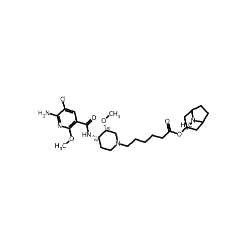 COc1nc(N)c(Cl)cc1C(=O)N[C@H]1CCN(CCCCCC(=O)OC2CC3CCC(C2)N3C)C[C@H]1OC